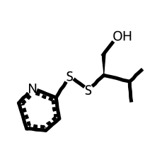 CC(C)[C@H](CO)SSc1ccccn1